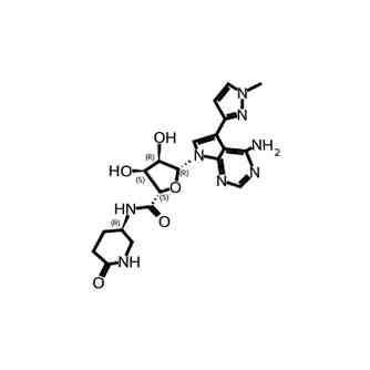 Cn1ccc(-c2cn([C@@H]3O[C@H](C(=O)N[C@@H]4CCC(=O)NC4)[C@@H](O)[C@H]3O)c3ncnc(N)c23)n1